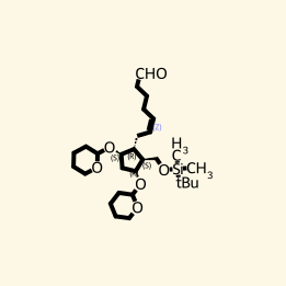 CC(C)(C)[Si](C)(C)OC[C@@H]1[C@@H](C/C=C\CCCC=O)[C@@H](OC2CCCCO2)C[C@H]1OC1CCCCO1